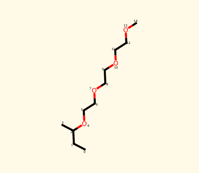 CCC(C)OCCOCCOCCOC